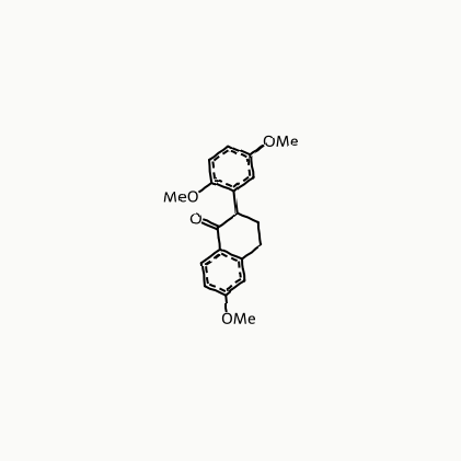 COc1ccc2c(c1)CCC(c1cc(OC)ccc1OC)C2=O